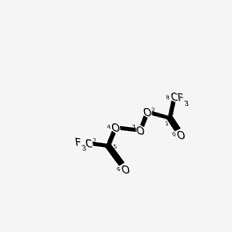 O=C(OOOC(=O)C(F)(F)F)C(F)(F)F